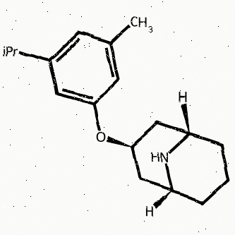 Cc1cc(O[C@@H]2C[C@H]3CCC[C@@H](C2)N3)cc(C(C)C)c1